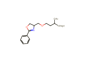 CCCCCCCC(CCOCC1COC(c2ccccc2)=N1)OC(C)=O